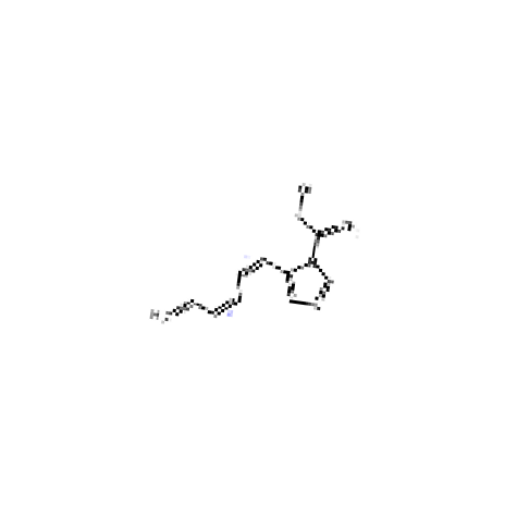 C=C/C=C\C=C/c1cncn1C(=C)CO